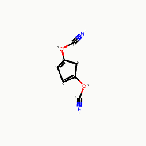 N#COC1=CC=C(OC#N)C1